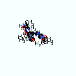 CC1=CC(C)C(CNC(=O)c2cc3cc(-c4cnn(C5CCN(C(=O)OC(C)(C)C)CC5)c4)cn3c(C(C)N3CCOCC3)c2C)C(=O)N1